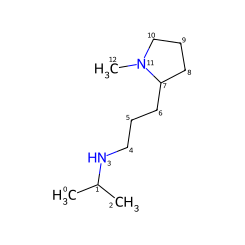 CC(C)NCCCC1CCCN1C